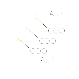 O=C([O-])[S-].O=C([O-])[S-].O=C([O-])[S-].[Au+3].[Au+3]